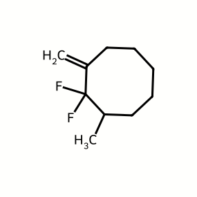 C=C1CCCCCC(C)C1(F)F